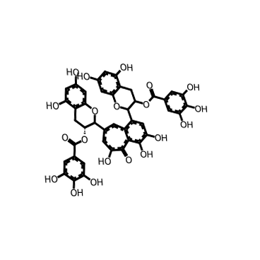 O=C(OC1Cc2c(O)cc(O)cc2OC1c1cc(O)c(O)c2c(=O)c(O)cc(C3Oc4cc(O)cc(O)c4C[C@H]3OC(=O)c3cc(O)c(O)c(O)c3)cc12)c1cc(O)c(O)c(O)c1